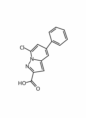 O=C(O)c1cc2cc(-c3ccccc3)cc(Cl)n2n1